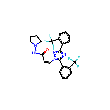 O=C(/C=C\n1nc(-c2ccccc2C(F)(F)F)nc1-c1ccccc1C(F)(F)F)NN1CCCC1